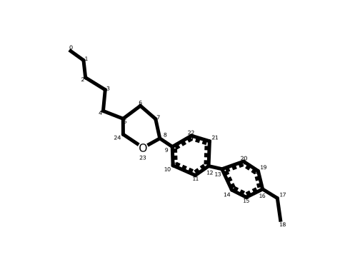 CCCCCC1CCC(c2ccc(-c3ccc(CC)cc3)cc2)OC1